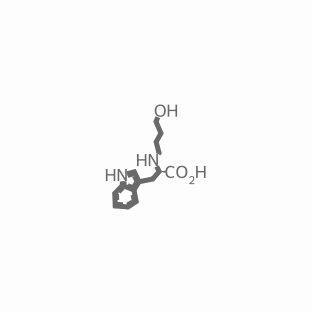 O=C(O)[C@H](Cc1c[nH]c2ccccc12)NCCCCO